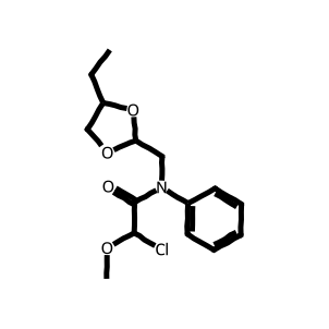 CCC1COC(CN(C(=O)C(Cl)OC)c2ccccc2)O1